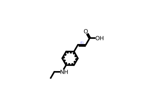 CCNc1ccc(/C=C/C(=O)O)cc1